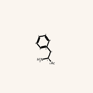 [CH]C(=O)[C@@H](N)Cc1ccccc1